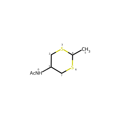 CC(=O)NC1CSC(C)SC1